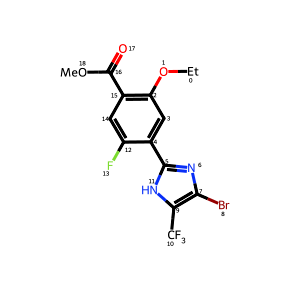 CCOc1cc(-c2nc(Br)c(C(F)(F)F)[nH]2)c(F)cc1C(=O)OC